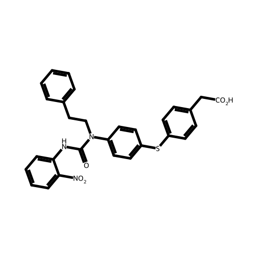 O=C(O)Cc1ccc(Sc2ccc(N(CCc3ccccc3)C(=O)Nc3ccccc3[N+](=O)[O-])cc2)cc1